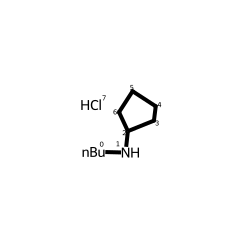 CCCCNC1CCCC1.Cl